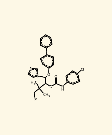 CC(C)(CBr)C(OC(=O)Nc1ccc(Cl)cc1)C(Oc1ccc(-c2ccccc2)cc1)n1ccnc1